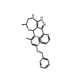 Cc1cc(OCc2cccnc2)ccc1C1SC(C)CNc2[nH]nc(-c3ccccn3)c21